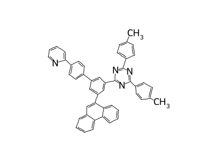 Cc1ccc(-c2nc(-c3ccc(C)cc3)nc(-c3cc(-c4ccc(-c5ccccn5)cc4)cc(-c4cc5ccccc5c5ccccc45)c3)n2)cc1